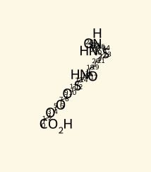 O=C(O)CCOCCOCCOCCSCCNC(=O)CCCCC1SCC2NC(=O)NC21